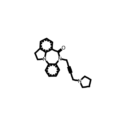 O=C1c2cccc3c2N(CC3)c2ccccc2N1CC#CCN1CCCC1